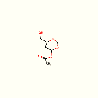 CC(=O)OC1CC(CO)OCO1